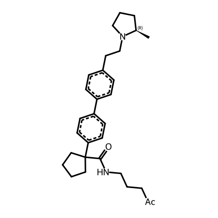 CC(=O)CCCNC(=O)C1(c2ccc(-c3ccc(CCN4CCC[C@H]4C)cc3)cc2)CCCC1